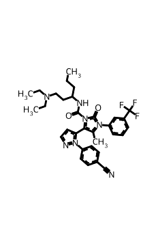 CCCC(CCN(CC)CC)NC(=O)n1c(-c2ccnn2-c2ccc(C#N)cc2)c(C)n(-c2cccc(C(F)(F)F)c2)c1=O